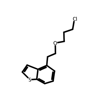 ClCCCOCCc1cccc2sccc12